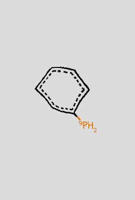 [9PH2]c1ccccc1